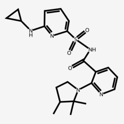 CC1CCN(c2ncccc2C(=O)NS(=O)(=O)c2cccc(NC3CC3)n2)C1(C)C